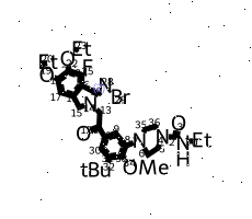 CCNC(=O)N1CCN(c2cc(C(=O)CN3Cc4cc(OCC)c(OCC)c(F)c4/C3=N/Br)cc(C(C)(C)C)c2OC)CC1